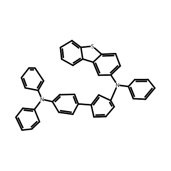 c1ccc(N(c2ccccc2)c2ccc(-c3cccc(N(c4ccccc4)c4ccc5sc6ccccc6c5c4)c3)cc2)cc1